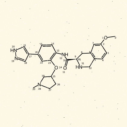 COc1ccc2c(c1)C[C@H](C(=O)Nc1ccc(-c3cn[nH]c3)cc1OC1CCN(C)C1)NC2